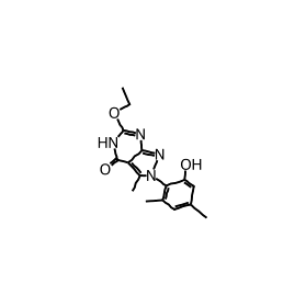 CCOc1nc2nn(-c3c(C)cc(C)cc3O)c(C)c2c(=O)[nH]1